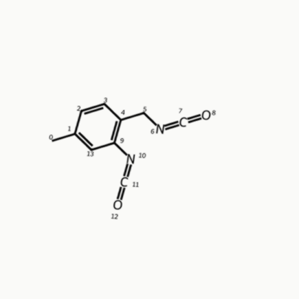 Cc1ccc(CN=C=O)c(N=C=O)c1